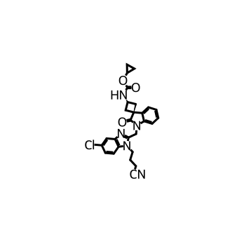 N#CCCCn1c(CN2c3ccccc3[C@]3(C[C@@H](NC(=O)OC4CC4)C3)C2=O)nc2cc(Cl)ccc21